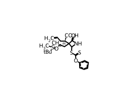 C=CC[C@@H](C(=O)O)C1(CCO[Si](C)(C)C(C)(C)C)C(=O)NC1SC(=S)Oc1ccccc1